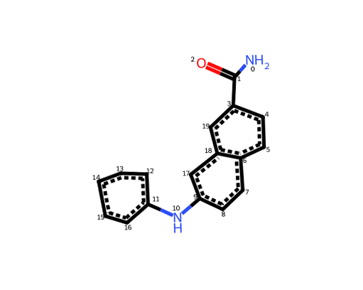 NC(=O)c1ccc2ccc(Nc3ccccc3)cc2c1